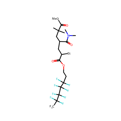 CCC(CC(CC(C)(C)C(=O)OC)C(=O)N(C)C)C(=O)OCCC(F)(F)C(F)(F)C(F)(F)C(F)(F)C(F)(F)F